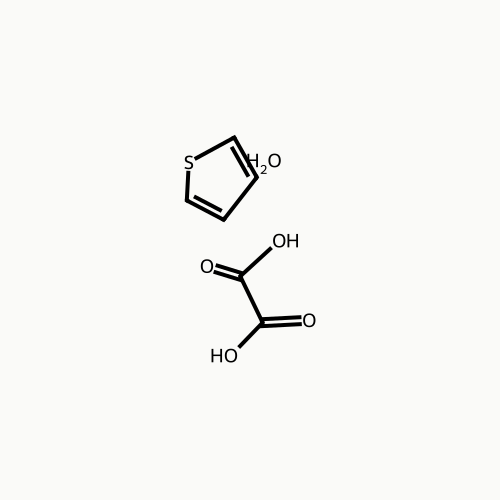 O.O=C(O)C(=O)O.c1ccsc1